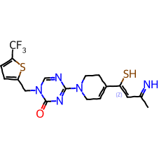 CC(=N)/C=C(\S)C1=CCN(c2ncn(Cc3ccc(C(F)(F)F)s3)c(=O)n2)CC1